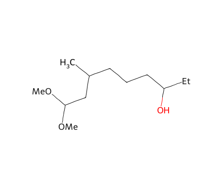 CCC(O)CCCC(C)CC(OC)OC